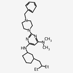 CCC(CC)CC1CCCC(Nc2cc(N(C)C)nc(N3CCN(Cc4ccccc4)CC3)n2)C1